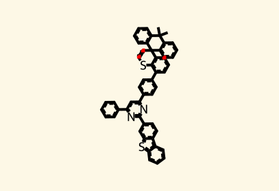 CC1(C)c2ccccc2C2(c3ccccc3Sc3c(-c4ccc(-c5cc(-c6ccccc6)nc(-c6ccc7c(c6)sc6ccccc67)n5)cc4)cccc32)c2ccccc21